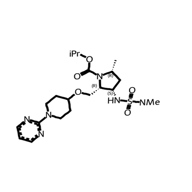 CNS(=O)(=O)N[C@H]1C[C@@H](C)N(C(=O)OC(C)C)[C@H]1COC1CCN(c2ncccn2)CC1